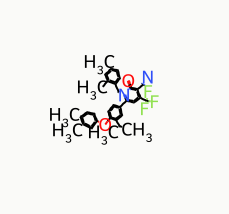 Cc1ccc(Cn2c(-c3ccc(Oc4ccc(C)c(C)c4)c(C(C)C)c3)cc(C(F)(F)F)c(C#N)c2=O)c(C)c1